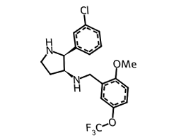 COc1ccc(OC(F)(F)F)cc1CN[C@H]1CCN[C@H]1c1cccc(Cl)c1